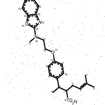 CC(C)=CCC(C(=O)O)C(C)c1ccc(OCCN(C)c2nc3ccccc3o2)cc1